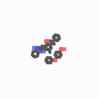 Cc1cc([CH]=[Mn]2[NH]C3CCCCC3[NH]2)c(O)c(C(C)(C)c2ccccc2)c1.Oc1ccc(Oc2ccccc2)cc1